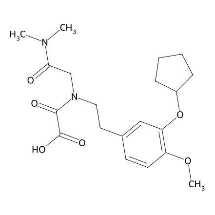 COc1ccc(CCN(CC(=O)N(C)C)C(=O)C(=O)O)cc1OC1CCCC1